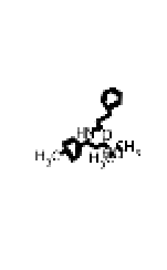 Cc1ccc(C(CCN(C)C)NC(=O)CCc2ccccc2)cc1.Cl